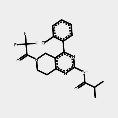 CC(C)C(=O)Nc1nc2c(c(-c3ccccc3Cl)n1)CN(C(=O)C(F)(F)F)CC2